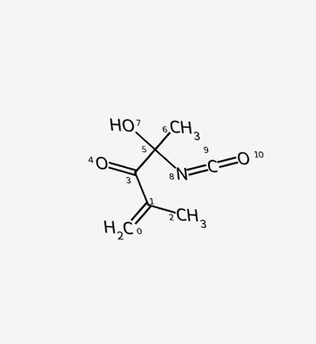 C=C(C)C(=O)C(C)(O)N=C=O